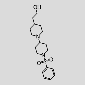 O=S(=O)(c1ccccc1)N1CCC(N2CCC(CCO)CC2)CC1